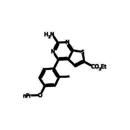 CCCOc1ccc(-c2nc(N)nc3sc(C(=O)OCC)cc23)c(C)c1